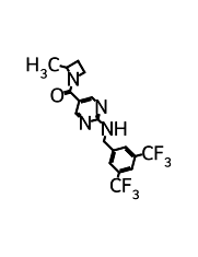 CC1CCN1C(=O)c1cnc(NCc2cc(C(F)(F)F)cc(C(F)(F)F)c2)nc1